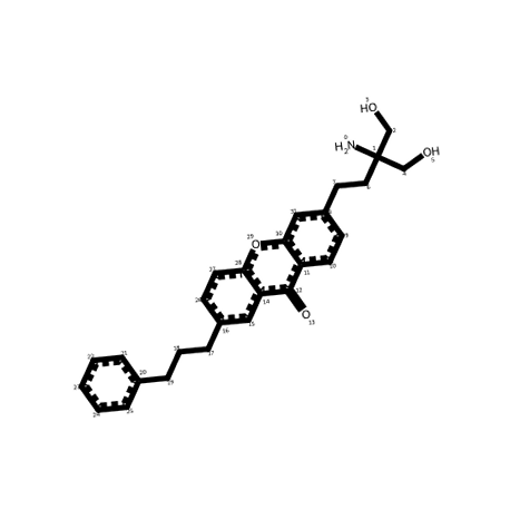 NC(CO)(CO)CCc1ccc2c(=O)c3cc(CCCc4ccccc4)ccc3oc2c1